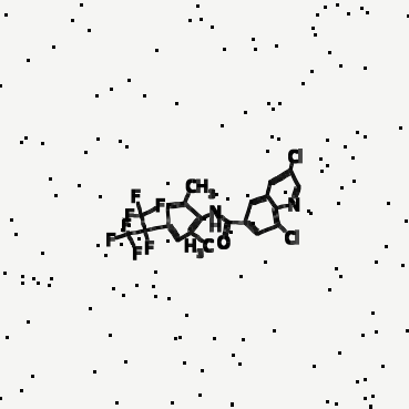 Cc1cc(C(F)(C(F)(F)F)C(F)(F)F)cc(C)c1NC(=O)c1cc(Cl)c2ncc(Cl)cc2c1